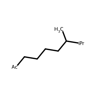 CC(=O)CCCCC(C)C(C)C